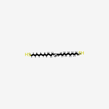 SCCCCCCCCCCC[CH2][Sn][CH2]CCCCCCCCCCCS